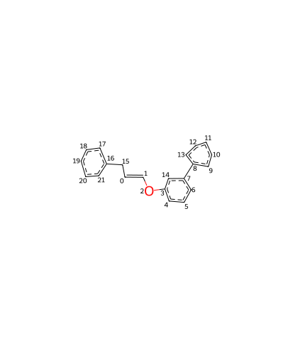 C(=COc1cccc(-c2ccccc2)c1)Cc1ccccc1